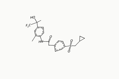 Cc1cc(C(C)(O)C(F)(F)F)ccc1NC(=O)Cc1ccc(S(=O)(=O)CC2CC2)cc1